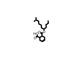 CCCCC(CCCCC(C)C)OC(=O)C1CC=CCC1C(=O)O